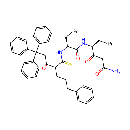 CC(C)C[C@H](NC(=O)[C@H](CC(C)C)NC(=S)C(CCCc1ccccc1)C(=O)CC(c1ccccc1)(c1ccccc1)c1ccccc1)C(=O)CC(N)=O